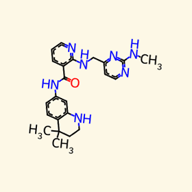 CNc1nccc(CNc2ncccc2C(=O)Nc2ccc3c(c2)NCCC3(C)C)n1